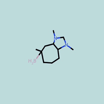 BC1(C)CCCC2C(C1)N(C)CN2C